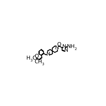 CC1(C)C=Cc2c(CN3CCC4(CC3)CCN(C(=O)c3ccnc(N)n3)CC4)cccc2O1